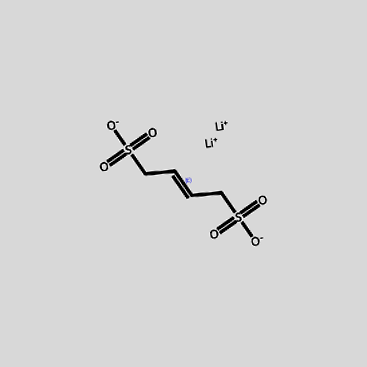 O=S(=O)([O-])C/C=C/CS(=O)(=O)[O-].[Li+].[Li+]